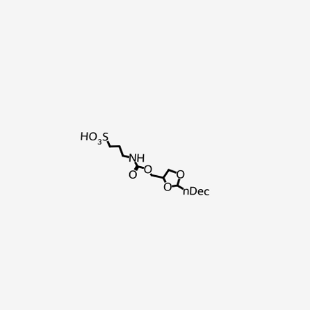 CCCCCCCCCCC1OCC(COC(=O)NCCCS(=O)(=O)O)O1